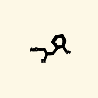 CCC(=Cc1ccccc1C(C)C)COC(C)=O